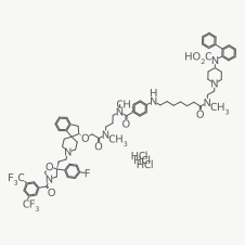 CN(CCN1CCC(N(C(=O)O)c2ccccc2-c2ccccc2)CC1)C(=O)CCCCCCNc1ccc(C(=O)N(C)CCCN(C)C(=O)CO[C@H]2Cc3ccccc3C23CCN(CC[C@@]2(c4ccc(F)cc4)CN(C(=O)c4cc(C(F)(F)F)cc(C(F)(F)F)c4)CO2)CC3)cc1.Cl.Cl.Cl